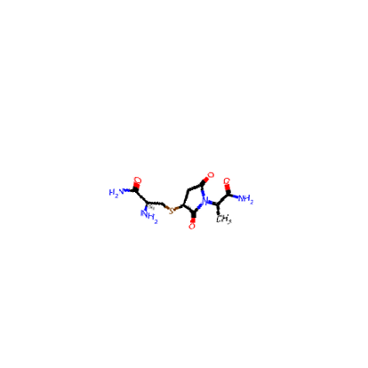 CC(C(N)=O)N1C(=O)CC(SC[C@@H](N)C(N)=O)C1=O